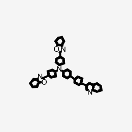 c1ccc2ncc(-c3ccc(-c4ccc(N(c5ccc(-c6nc7ccccc7o6)cc5)c5ccc(-c6nc7ccccc7o6)cc5)cc4)cc3)cc2c1